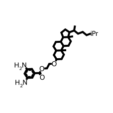 CC(C)CCCC(C)C1CCC2C3CCC4CC(OCCOC(=O)c5cc(N)cc(N)c5)CCC4(C)C3CCC12C